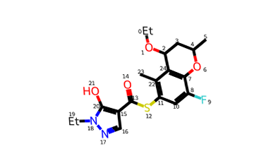 CCOC1CC(C)Oc2c(F)cc(SC(=O)c3cnn(CC)c3O)c(C)c21